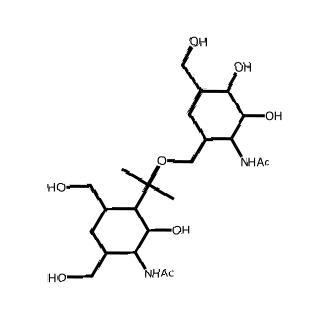 CC(=O)NC1C(COC(C)(C)C2C(CO)CC(CO)C(NC(C)=O)C2O)CC(CO)C(O)C1O